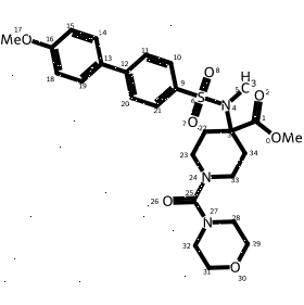 COC(=O)C1(N(C)S(=O)(=O)c2ccc(-c3ccc(OC)cc3)cc2)CCN(C(=O)N2CCOCC2)CC1